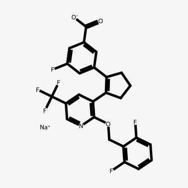 O=C([O-])c1cc(F)cc(C2=C(c3cc(C(F)(F)F)cnc3OCc3c(F)cccc3F)CCC2)c1.[Na+]